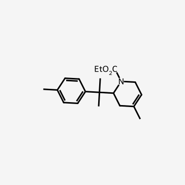 CCOC(=O)N1CC=C(C)CC1C(C)(C)c1ccc(C)cc1